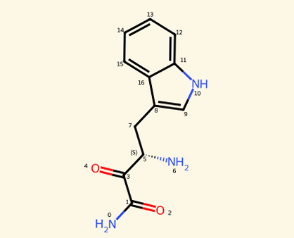 NC(=O)C(=O)[C@@H](N)Cc1c[nH]c2ccccc12